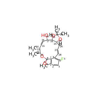 Cc1ccc(F)c2c1C(=O)O[C@@H](C)[C@H](C)/C=C\C(O)[C@H]1OC(C)(C)O[C@H]1C/C=C/2